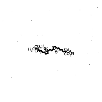 CC(C)(CCCCC1CCC(C=CC2CCC(CCCCC(C)(C)C(=O)O)[S+]2[O-])[S+]1[O-])C(=O)O